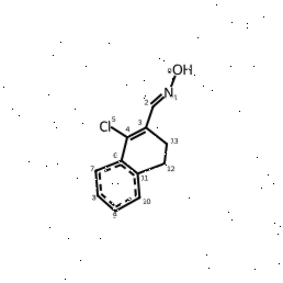 ON=CC1=C(Cl)c2ccccc2CC1